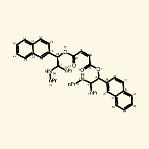 CCCNC(CCC)C(OC(=O)/C=C\C(=O)OC(c1ccc2ccccc2c1)C(CCC)NCCC)c1ccc2ccccc2c1